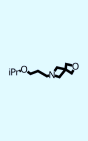 CC(C)OCCCN1CC2(COC2)C1